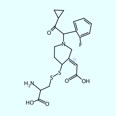 NC(CSSC1CCN(C(C(=O)C2CC2)c2ccccc2F)C/C1=C/C(=O)O)C(=O)O